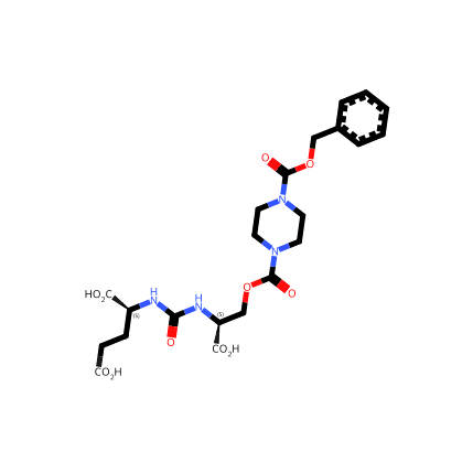 O=C(O)CC[C@H](NC(=O)N[C@@H](COC(=O)N1CCN(C(=O)OCc2ccccc2)CC1)C(=O)O)C(=O)O